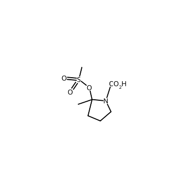 CC1(OS(C)(=O)=O)CCCN1C(=O)O